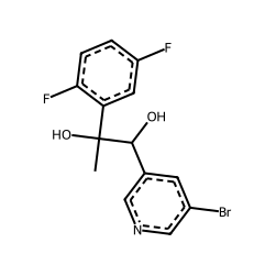 CC(O)(c1cc(F)ccc1F)C(O)c1cncc(Br)c1